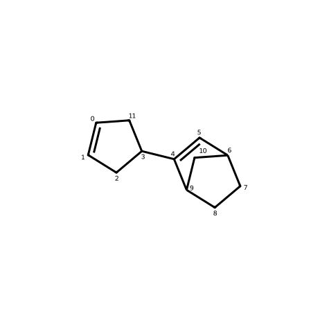 C1=CCC(C2=CC3CCC2C3)C1